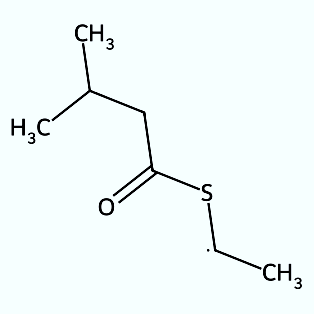 C[CH]SC(=O)CC(C)C